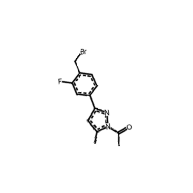 CC(=O)n1nc(-c2ccc(CBr)c(F)c2)cc1C